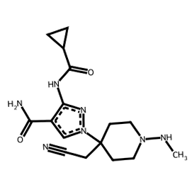 CNN1CCC(CC#N)(n2cc(C(N)=O)c(NC(=O)C3CC3)n2)CC1